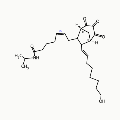 CC(C)NC(=O)CCC/C=C\CC1C(C=CCCCCCCO)[C@H]2C[C@H]1C(=O)C(=O)C2=O